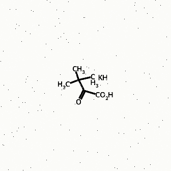 CC(C)(C)C(=O)C(=O)O.[KH]